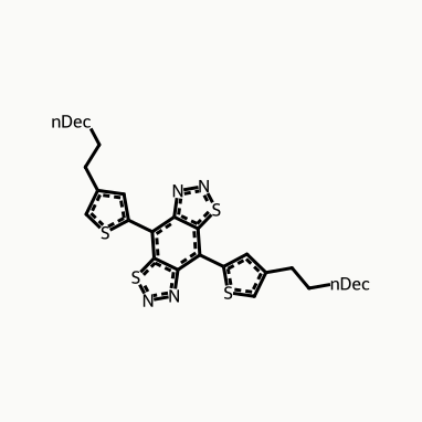 CCCCCCCCCCCCc1csc(-c2c3nnsc3c(-c3cc(CCCCCCCCCCCC)cs3)c3nnsc23)c1